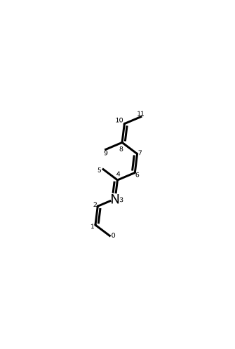 C\C=C/N=C(C)/C=C\C(C)=C/C